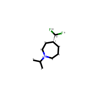 CC(C)N1CCC[C@@H](C(F)F)CC1